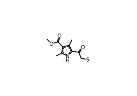 COC(=O)c1c(C)[nH]c(C(=O)C[S])c1C